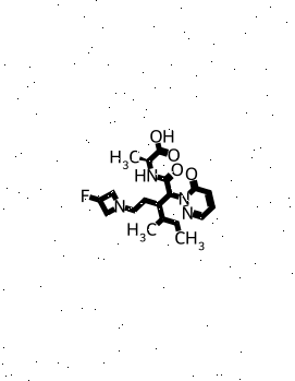 CCC(C)C(CCN1CC(F)C1)C(C(=O)N[C@@H](C)C(=O)O)n1ncccc1=O